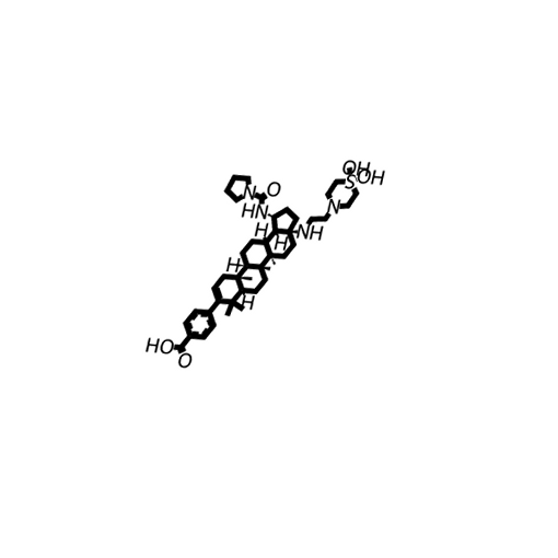 CC1(C)C(c2ccc(C(=O)O)cc2)=CC[C@]2(C)[C@H]3CC[C@@H]4[C@H]5[C@H](NC(=O)N6CCCC6)CC[C@]5(NCCN5CCS(O)(O)CC5)CC[C@@]4(C)[C@]3(C)CC[C@@H]12